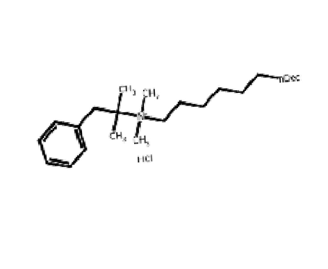 CCCCCCCCCCCCCCCC[N+](C)(C)C(C)(C)Cc1ccccc1.Cl